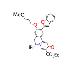 CCOC(=O)c1cn2c(cc1=O)-c1cc(-c3cc4ccccc4o3)c(OCCCOC)cc1CC2C(C)C